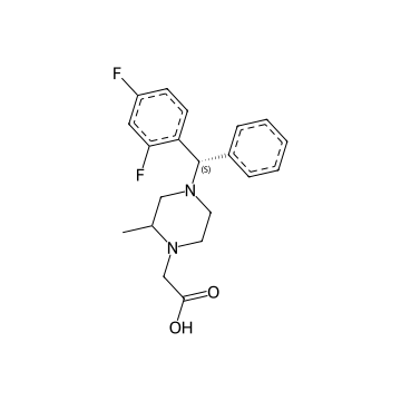 CC1CN([C@@H](c2ccccc2)c2ccc(F)cc2F)CCN1CC(=O)O